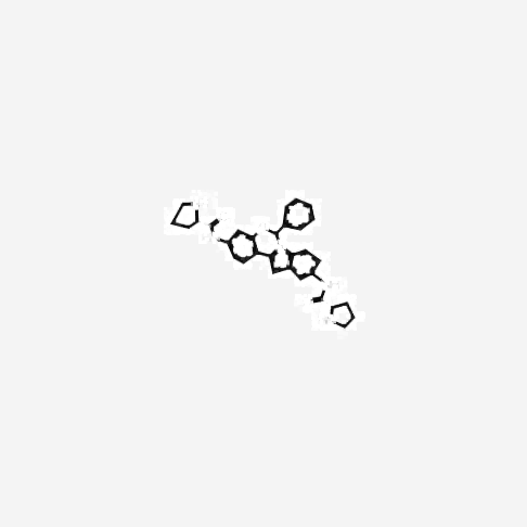 O=C(Nc1ccc2c(c1)OC(c1ccccc1)n1c-2cc2cc(NC(=O)[C@@H]3CCCN3)ccc21)[C@@H]1CCCN1